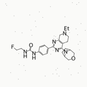 CCN1CCc2c(nc(-c3ccc(NC(=O)NCCF)cc3)nc2N2C3CCC2COC3)C1